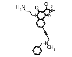 Cc1[nH]nc2c1c(=O)n(CCCN)c1ccc(C#CCN(C)Cc3ccccc3)cc21